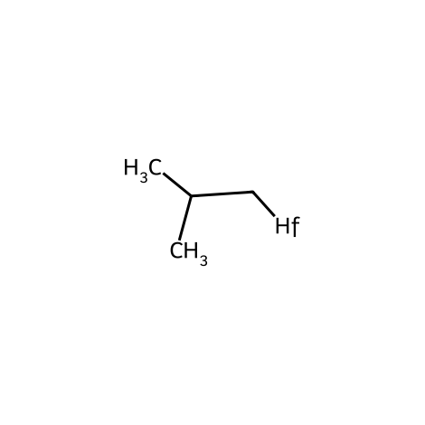 CC(C)[CH2][Hf]